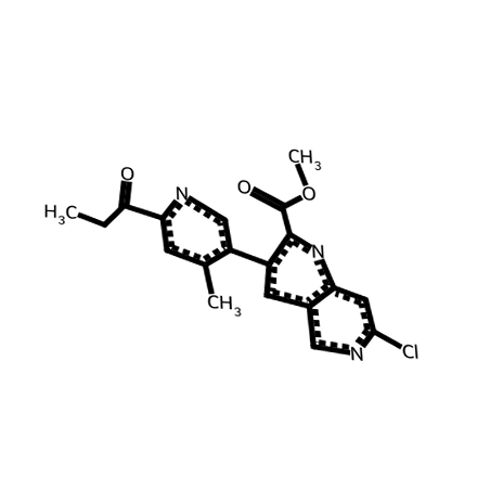 CCC(=O)c1cc(C)c(-c2cc3cnc(Cl)cc3nc2C(=O)OC)cn1